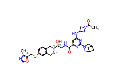 CC(=O)N1CC(Nc2cc(C(=O)NC[C@@H](O)[C@@H]3Cc4ccc(OCc5ocnc5C)cc4CN3)nc(N3CC4CC(C4)C3)n2)C1